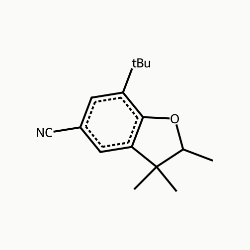 CC1Oc2c(C(C)(C)C)cc(C#N)cc2C1(C)C